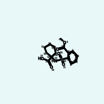 COC(=O)c1ccccc1S(=O)(=O)NC1(C(=O)O)CCCCC1